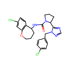 O=C(NC1CCCOc2cc(Cl)ccc21)N1CCCC1c1ncnn1Cc1ccc(Cl)cc1